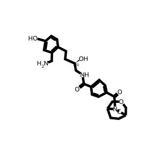 NCc1cc(O)ccc1CC[C@H](O)CNC(=O)c1ccc(C(=O)N2CC3CCC2COC3)cc1